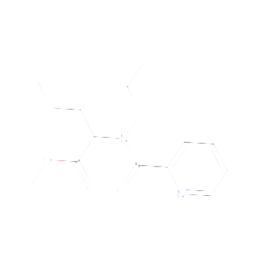 CCON(C(=O)c1ccccn1)C(COC)C(=O)OC